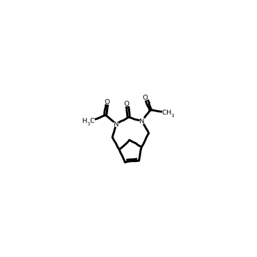 CC(=O)N1CC2C=CC(C2)CN(C(C)=O)C1=O